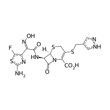 Nc1nc(/C(=N/O)C(=O)N[C@@H]2C(=O)N3C(C(=O)O)=C(SCc4cn[nH]c4)CS[C@H]23)c(F)s1